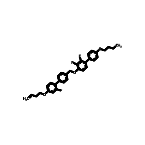 C=CCCOc1ccc(-c2ccc(COc3ccc(-c4ccc(OCCCC)cc4)c(F)c3F)cc2)c(F)c1